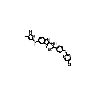 CCC(Nc1nc2ccc(Nc3cc(C)[nH]n3)cc2n1C)c1ccc(Oc2ncc(Cl)cn2)cc1